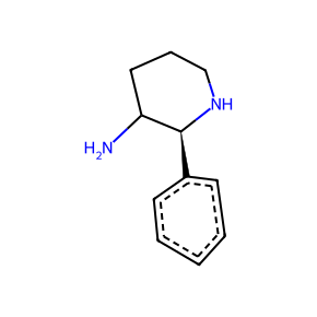 NC1CCCN[C@H]1c1ccccc1